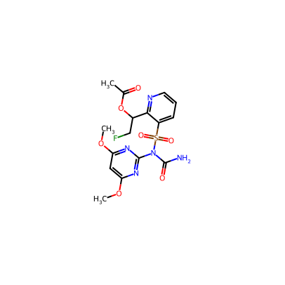 COc1cc(OC)nc(N(C(N)=O)S(=O)(=O)c2cccnc2C(CF)OC(C)=O)n1